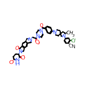 C[C@H]1CC2(CCN(c3ccc(C(=O)N4CCN(C(=O)CN5Cc6cc7c(cc6C5)C(=O)N(C5CCC(=O)NC5=O)C7)CC4)cc3)CC2)CN1c1ccc(C#N)c(Cl)c1